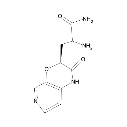 NC(=O)C(N)C[C@@H]1Oc2cnccc2NC1=O